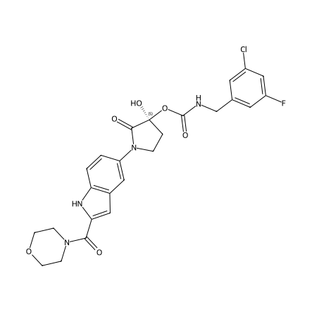 O=C(NCc1cc(F)cc(Cl)c1)O[C@@]1(O)CCN(c2ccc3[nH]c(C(=O)N4CCOCC4)cc3c2)C1=O